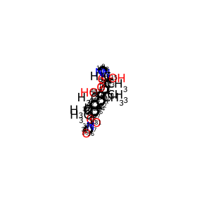 C[C@@H]1CC(C(Oc2ncccn2)C(C)(C)O)OC2C1C1(C)CCC34CC35CCC(OC(=O)N3CCOCC3)C(C)(C)[C@@H]5CCC4[C@]1(C)[C@H]2O